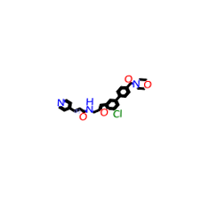 O=C(/C=C/c1ccncc1)NCc1cc2cc(-c3ccc(C(=O)N4CCOCC4)cc3)cc(Cl)c2o1